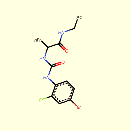 CCCC(NC(=O)Nc1ccc(Br)cc1F)C(=O)NCC(C)=O